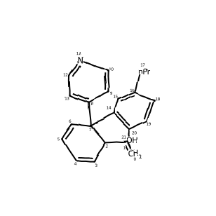 C=CC1C=CC=CC1(c1ccncc1)c1cc(CCC)ccc1O